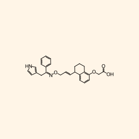 O=C(O)COc1cccc2c1CCCC2C=CCON=C(Cc1cc[nH]c1)c1ccccc1